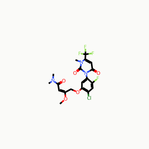 CO/C(=C/C(=O)N(C)C)COc1cc(-n2c(=O)cc(C(F)(F)F)n(C)c2=O)c(F)cc1Cl